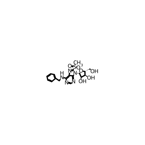 CS(=O)(=O)c1nc2c(NCc3ccccc3)ncnc2n1[C@@H]1O[C@H](CO)[C@@H](O)[C@H]1O